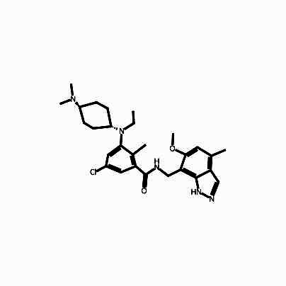 CCN(c1cc(Cl)cc(C(=O)NCc2c(OC)cc(C)c3cn[nH]c23)c1C)[C@H]1CC[C@H](N(C)C)CC1